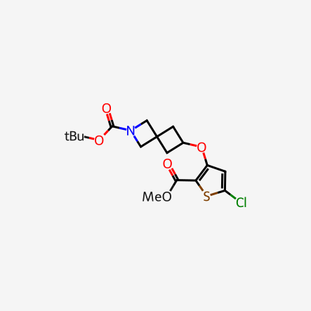 COC(=O)c1sc(Cl)cc1OC1CC2(C1)CN(C(=O)OC(C)(C)C)C2